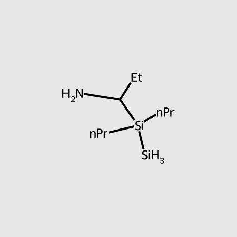 [CH2]CC(N)[Si]([SiH3])(CCC)CCC